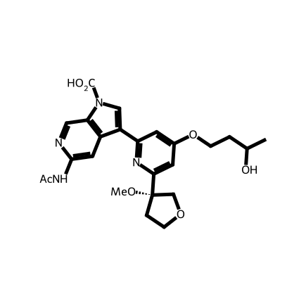 CO[C@@]1(c2cc(OCCC(C)O)cc(-c3cn(C(=O)O)c4cnc(NC(C)=O)cc34)n2)CCOC1